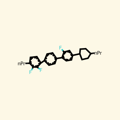 CCCc1ccc(-c2ccc(-c3ccc(C4CCC(CCC)CC4)cc3F)cc2)c(F)c1F